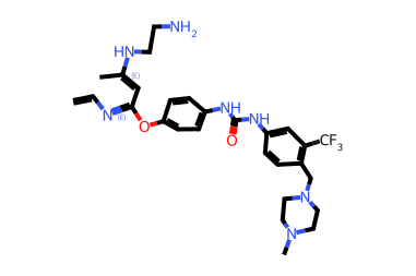 C=C/N=C(\C=C(/C)NCCN)Oc1ccc(NC(=O)Nc2ccc(CN3CCN(C)CC3)c(C(F)(F)F)c2)cc1